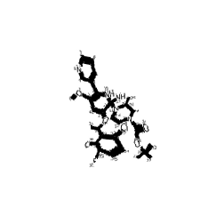 COC1=C(c2cccnc2)NC(N)(N2CCN(C(=O)OC(C)(C)C)C[C@@H]2C)C(OC(C)c2c(Cl)ccc(F)c2Cl)=C1